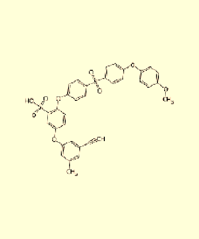 C#Cc1cc(C)cc(Oc2ccc(Oc3ccc(S(=O)(=O)c4ccc(Oc5ccc(OC)cc5)cc4)cc3)c(S(=O)(=O)O)c2)c1